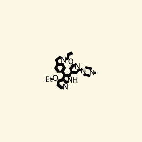 C=CC(=O)N1CCc2ccc(-c3c(-c4ccnc(N5CCN(C)CC5)c4)[nH]c4nccc(OCC)c34)cc21